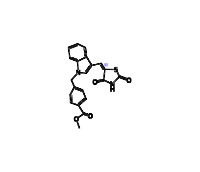 COC(=O)c1ccc(Cn2cc(/C=C3/SC(=O)NC3=O)c3ccccc32)cc1